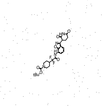 CC(C)(C)OC(=O)N1CCC(C(F)(F)C(=O)Nc2cccc3c(C4CCC(=O)NC4=O)noc23)CC1